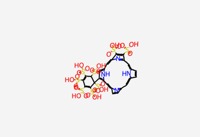 O=S(=O)(O)C1=C(S(=O)(=O)O)C(S(=O)(=O)O)C(c2cc3cc4nc(cc5ccc(cc6nc(cc2[nH]3)C=C6)[nH]5)C(S(=O)(=O)O)=C4S(=O)(=O)O)(S(=O)(=O)O)C(S(=O)(=O)O)=C1S(=O)(=O)O